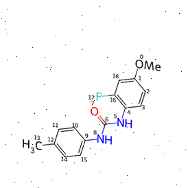 COc1ccc(NC(=O)Nc2ccc(C)cc2)c(F)c1